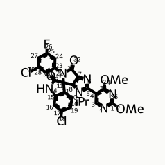 COc1ncc(-c2nc3c(n2C(C)C)C2(C(=O)Nc4cc(Cl)ccc42)N(c2cc(F)cc(Cl)c2)C3=O)c(OC)n1